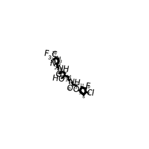 O=C(COc1ccc(Cl)c(F)c1)NCCC(O)CC(=O)NCc1ccc(C(F)(F)F)cn1